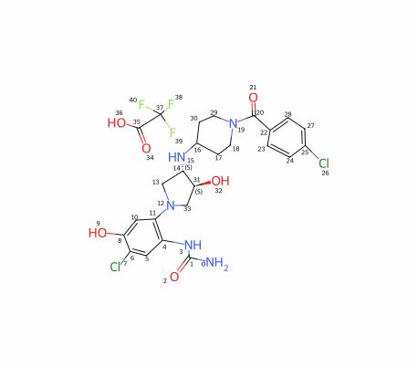 NC(=O)Nc1cc(Cl)c(O)cc1N1C[C@H](NC2CCN(C(=O)c3ccc(Cl)cc3)CC2)[C@@H](O)C1.O=C(O)C(F)(F)F